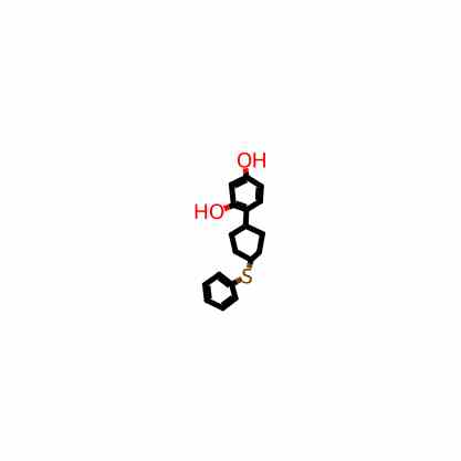 Oc1ccc(C2CCC(Sc3ccccc3)CC2)c(O)c1